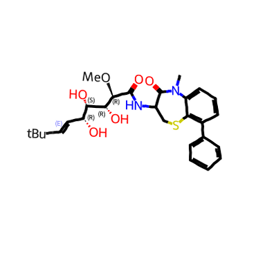 CO[C@@H](C(=O)NC1CSc2c(-c3ccccc3)cccc2N(C)C1=O)[C@H](O)[C@@H](O)[C@H](O)/C=C/C(C)(C)C